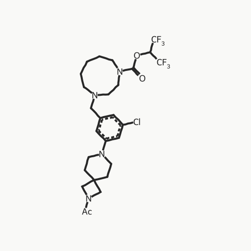 CC(=O)N1CC2(CCN(c3cc(Cl)cc(CN4CCCCCN(C(=O)OC(C(F)(F)F)C(F)(F)F)CC4)c3)CC2)C1